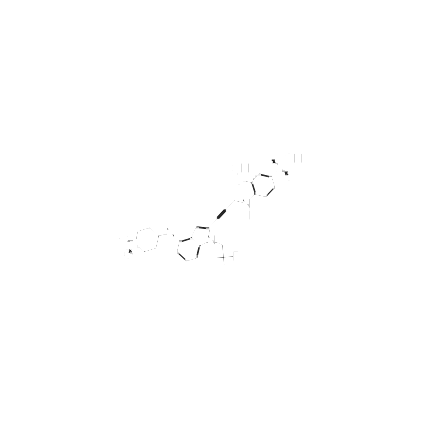 COc1cc(S(C)(=O)=O)ccc1NCC#Cc1cc2c(NC3CCS(=O)(=O)CC3)cccc2n1CC(F)(F)F